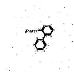 [CH2]CCC(C)c1ccccc1-c1[c]cccc1